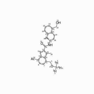 [2H]C([2H])([2H])OCc1ccc(C(C)=O)c2sc(C(=O)Nc3ccc4c(CO)cccc4n3)c(C)c12